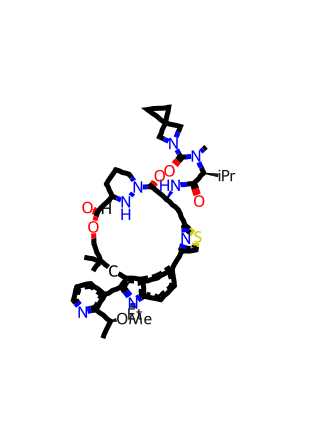 CCn1c(-c2cccnc2[C@H](C)OC)c2c3cc(ccc31)-c1csc(n1)C[C@H](NC(=O)[C@H](C(C)C)N(C)C(=O)N1CC3(CC3)C1)C(=O)N1CCC[C@H](N1)C(=O)OCC(C)(C)C2